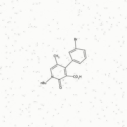 CCCCn1cc(C)c(-c2cccc(Br)c2)c(C(=O)O)c1=O